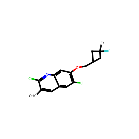 CCC1(F)CC(COc2cc3nc(Cl)c(C=O)cc3cc2Cl)C1